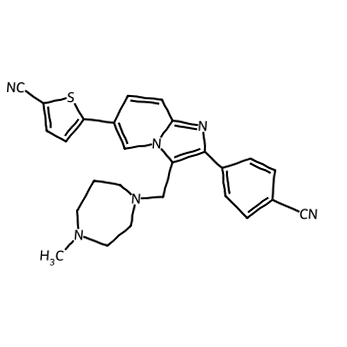 CN1CCCN(Cc2c(-c3ccc(C#N)cc3)nc3ccc(-c4ccc(C#N)s4)cn23)CC1